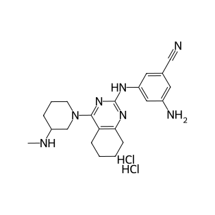 CNC1CCCN(c2nc(Nc3cc(N)cc(C#N)c3)nc3c2CCCC3)C1.Cl.Cl